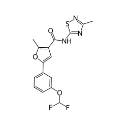 Cc1nsc(NC(=O)c2cc(-c3cccc(OC(F)F)c3)oc2C)n1